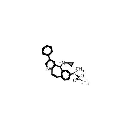 CN(c1ccc2c(c1)C(NC1CC1)c1cc(-c3ccccc3)cnc1C=C2)S(C)(=O)=O